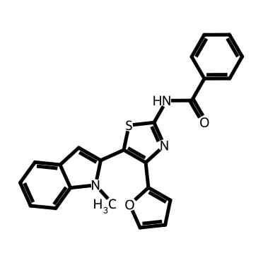 Cn1c(-c2sc(NC(=O)c3ccccc3)nc2-c2ccco2)cc2ccccc21